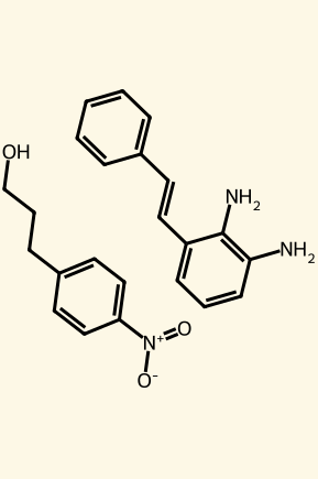 Nc1cccc(C=Cc2ccccc2)c1N.O=[N+]([O-])c1ccc(CCCO)cc1